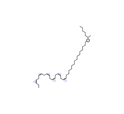 CC/C=C\C/C=C\C/C=C\C/C=C\C/C=C\C/C=C\CCCCCCCCCCCCCCCOC(C)CCCCC